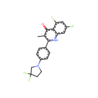 Cc1c(-c2ccc(N3CCC(F)(F)C3)cc2)[nH]c2cc(F)cc(F)c2c1=O